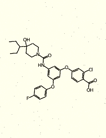 CCC(CC)C1(O)CCN(C(=O)Nc2cc(Oc3ccc(F)cc3)cc(Oc3ccc(C(=O)O)c(Cl)c3)c2)CC1